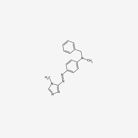 CN(Cc1ccccc1)c1ccc(/N=N/c2nncn2C)cc1